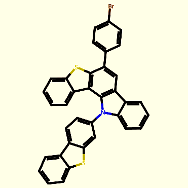 Brc1ccc(-c2cc3c4ccccc4n(-c4ccc5c(c4)sc4ccccc45)c3c3c2sc2ccccc23)cc1